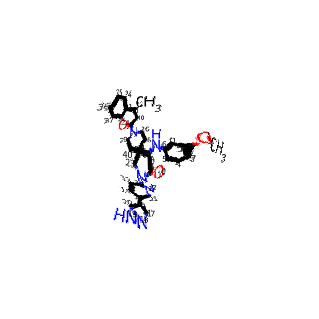 COc1cccc(NC2C(=O)N(c3ccc(-c4cn[nH]c4)cn3)CC23CCN(C(=O)CC(C)c2ccccc2)CC3)c1